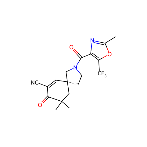 Cc1nc(C(=O)N2CC[C@]3(C=C(C#N)C(=O)C(C)(C)C3)C2)c(C(F)(F)F)o1